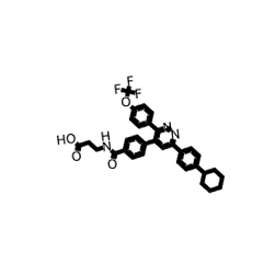 O=C(O)CCNC(=O)c1ccc(-c2cc(-c3ccc(C4CCCCC4)cc3)nnc2-c2ccc(OC(F)(F)F)cc2)cc1